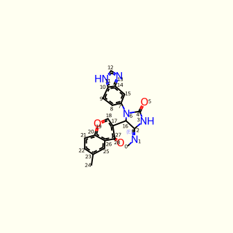 C/N=C1/NC(=O)N(c2ccc3[nH]cnc3c2)C1c1coc2ccc(C)cc2c1=O